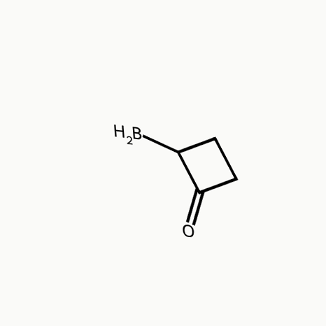 BC1CCC1=O